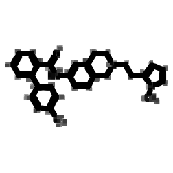 Cn1cccc1CCN1CCc2cc(NC(=O)c3ccccc3-c3ccc(C(F)(F)F)cc3)ccc2C1